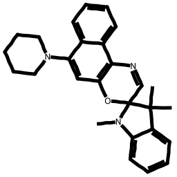 CN1c2ccccc2C(C)(C)C12C=Nc1c(cc(N3CCCCC3)c3ccccc13)O2